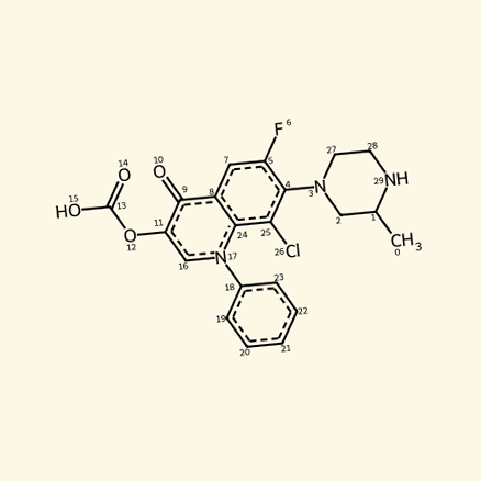 CC1CN(c2c(F)cc3c(=O)c(OC(=O)O)cn(-c4ccccc4)c3c2Cl)CCN1